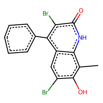 Cc1c(O)c(Br)cc2c(-c3ccccc3)c(Br)c(=O)[nH]c12